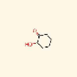 O=C1CCCC[C]1O